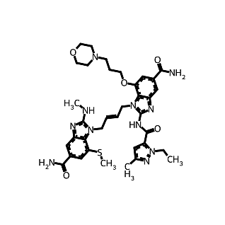 CCn1nc(C)cc1C(=O)Nc1nc2cc(C(N)=O)cc(OCCCN3CCOCC3)c2n1C/C=C/Cn1c(NC)nc2cc(C(N)=O)cc(SC)c21